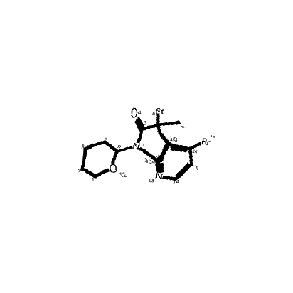 CCC1(C)C(=O)N(C2CCCCO2)c2nccc(Br)c21